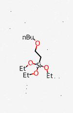 CCCCOCC[Si](OCC)(OCC)OCC